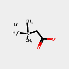 C[Si](C)(C)CC(=O)[O-].[Li+]